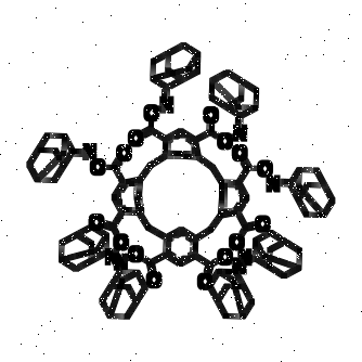 O=C(ON=C1C2CC3CC(C2)CC1C3)c1cc(C(=O)ON=C2C3CC4CC(C3)CC2C4)c2cc1Cc1cc(c(C(=O)ON=C3C4CC5CC(C4)CC3C5)cc1C(=O)ON=C1C3CC4CC(C3)CC1C4)Cc1cc(c(C(=O)ON=C3C4CC5CC(C4)CC3C5)cc1C(=O)ON=C1C3CC4CC(C3)CC1C4)Cc1cc(c(C(=O)ON=C3C4CC5CC(C4)CC3C5)cc1C(=O)ON=C1C3CC4CC(C3)CC1C4)C2